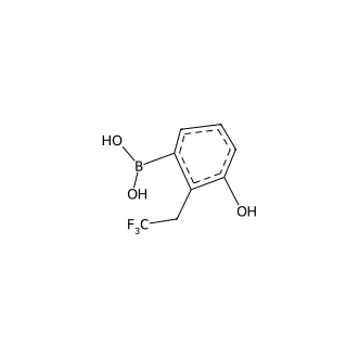 OB(O)c1cccc(O)c1CC(F)(F)F